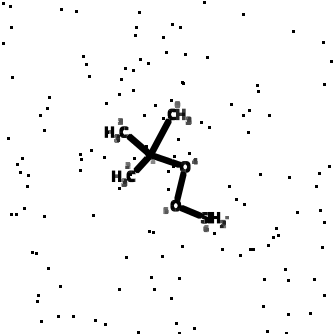 CC(C)(C)OO[SiH2]